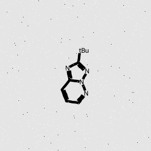 CC(C)(C)c1nc2cccnn2n1